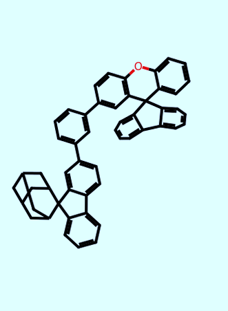 c1cc(-c2ccc3c(c2)C2(c4ccccc4O3)c3ccccc3-c3ccccc32)cc(-c2ccc3c(c2)C2(c4ccccc4-3)C3CC4CC(C3)CC2C4)c1